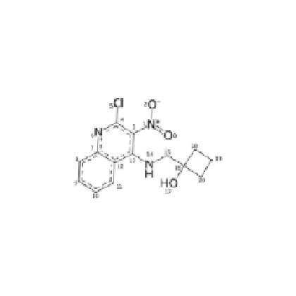 O=[N+]([O-])c1c(Cl)nc2ccccc2c1NCC1(O)CCC1